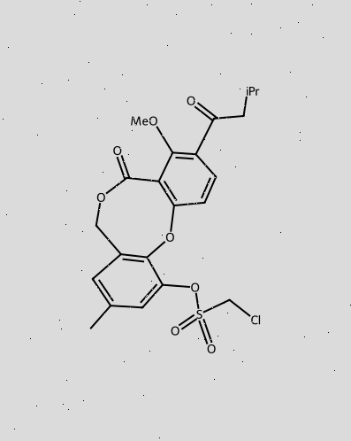 COc1c(C(=O)CC(C)C)ccc2c1C(=O)OCc1cc(C)cc(OS(=O)(=O)CCl)c1O2